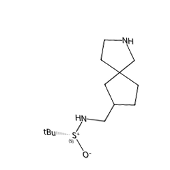 CC(C)(C)[S@@+]([O-])NCC1CCC2(CCNC2)C1